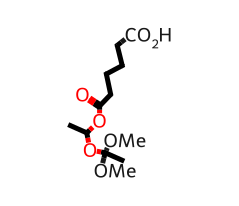 COC(C)(OC)OC(C)OC(=O)CCCCC(=O)O